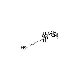 C[N+](C)(C)CCO[PH](=O)CCCCCCCCCCCS